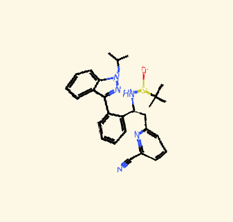 CC(C)n1nc(-c2ccccc2[C@H](Cc2cccc(C#N)n2)N[S+]([O-])C(C)(C)C)c2ccccc21